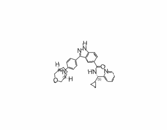 O=C(N[C@H](c1ccccn1)C1CC1)c1ccc2[nH]nc(-c3ccc(N4[C@@H]5CC[C@H]4COC5)cc3)c2c1